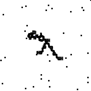 CC[n+]1ccsc1/N=N/c1ccc(NC(CCOCCOCCO)COCCO)cc1C